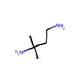 [CH2]C(C)(N)CCN